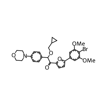 COc1cc(-c2ccc(C(=O)C(OCC3CC3)c3ccc(N4CCOCC4)cc3)o2)cc(OC)c1Br